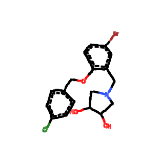 OC1CN(Cc2cc(Br)ccc2OCc2ccc(Cl)cc2)CC1O